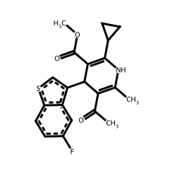 COC(=O)C1=C(C2CC2)NC(C)=C(C(C)=O)C1c1csc2ccc(F)cc12